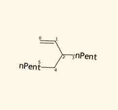 C=CC(CCCCC)CCCCCC